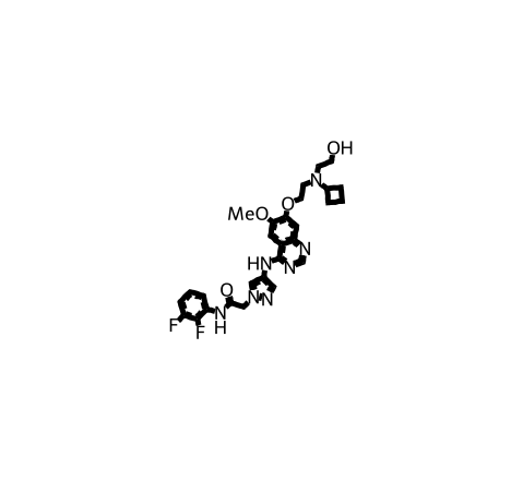 COc1cc2c(Nc3cnn(CC(=O)Nc4cccc(F)c4F)c3)ncnc2cc1OCCN(CCO)C1CCC1